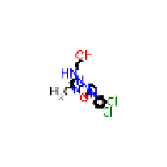 Cc1cc(NCCCO)nc(N2CCN(c3ccc(Cl)c(Cl)c3)C2=O)n1